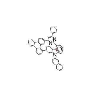 c1ccc(-c2cc(-c3ccc4c5ccccc5c5cccc(-c6ccc7c8ccccc8n(-c8ccc9ccccc9c8)c7c6)c5c4c3)nc(-c3ccccc3)n2)cc1